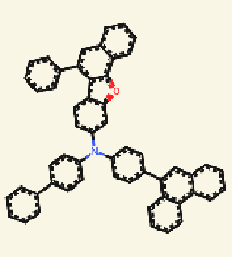 c1ccc(-c2ccc(N(c3ccc(-c4cc5ccccc5c5ccccc45)cc3)c3ccc4c(c3)oc3c5ccccc5cc(-c5ccccc5)c43)cc2)cc1